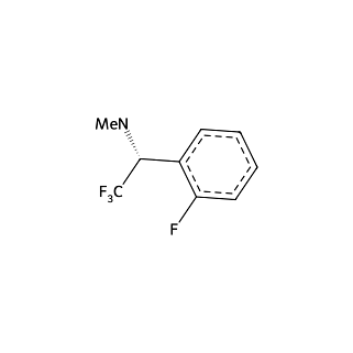 CN[C@H](c1ccccc1F)C(F)(F)F